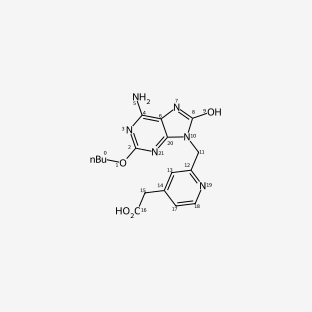 CCCCOc1nc(N)c2nc(O)n(Cc3cc(CC(=O)O)ccn3)c2n1